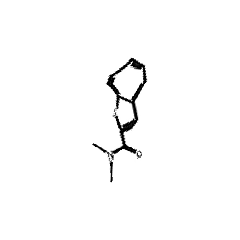 CN(C)C(=O)c1cc2ccccc2s1